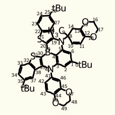 CC(C)(C)c1cc2c3c(c1)N(C1(C)C=CC4=C(C1)OCCO4)c1c(sc4ccc(C(C)(C)C)cc14)B3c1sc3ccc(C(C)(C)C)cc3c1N2c1ccc2c(c1)OCCO2